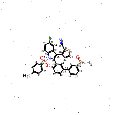 Cc1ccc(S(=O)(=O)n2c(-c3cccc(-c4cccc([S+](C)[O-])c4)c3)c(-c3ccsc3C#N)c3cc(F)ccc32)cc1